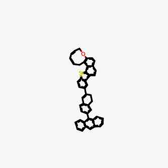 C1=C(c2ccc3sc4c(ccc5ccc6c(c54)C/C=C\C=C/CO6)c3c2)CCc2cc(-c3c4ccccc4cc4ccccc34)ccc21